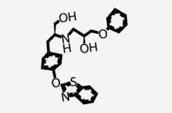 OC[C@H](Cc1ccc(Oc2nc3ccccc3s2)cc1)NC[C@H](O)COc1ccccc1